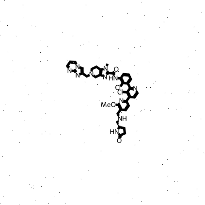 COc1nc(-c2ccnc(-c3cccc(NC(=O)c4nc5c(n4C)CCN(Cc4cn6cccnc6n4)C5)c3Cl)c2Cl)ccc1CNC[C@H]1CCC(=O)N1